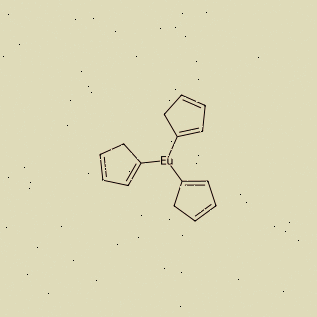 C1=CC[C]([Eu]([C]2=CC=CC2)[C]2=CC=CC2)=C1